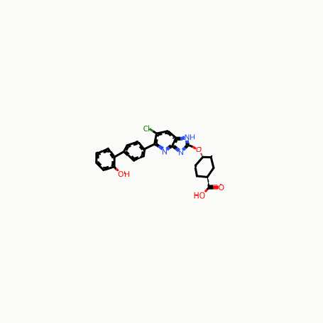 O=C(O)[C@H]1CC[C@H](Oc2nc3nc(-c4ccc(-c5ccccc5O)cc4)c(Cl)cc3[nH]2)CC1